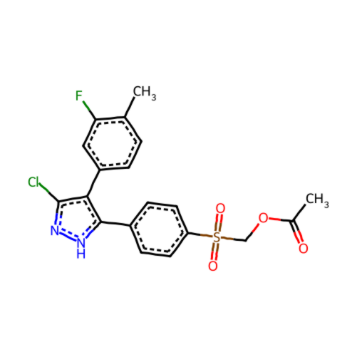 CC(=O)OCS(=O)(=O)c1ccc(-c2[nH]nc(Cl)c2-c2ccc(C)c(F)c2)cc1